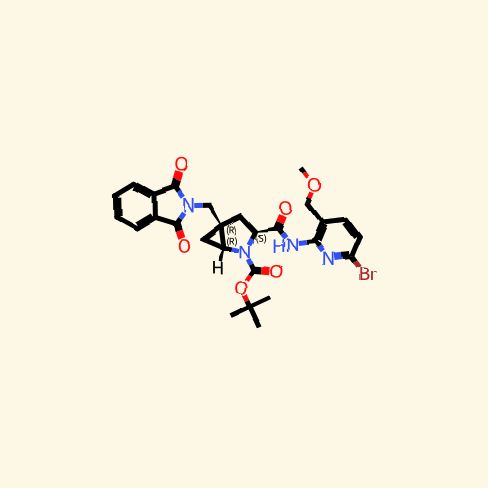 COCc1ccc(Br)nc1NC(=O)[C@@H]1C[C@@]2(CN3C(=O)c4ccccc4C3=O)C[C@H]2N1C(=O)OC(C)(C)C